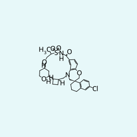 C[C@@H]1CO[C@H]2CCO[C@@H](C2)[C@@H]2CC[C@H]2CN2C[C@@]3(CCCc4cc(Cl)ccc43)COc3ccc(cc32)C(=O)NS1(=O)=O